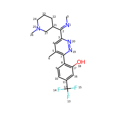 C/N=C(/c1cc(C)c(-c2ccc(C(F)(F)F)cc2O)nn1)C1CCCN(C)C1